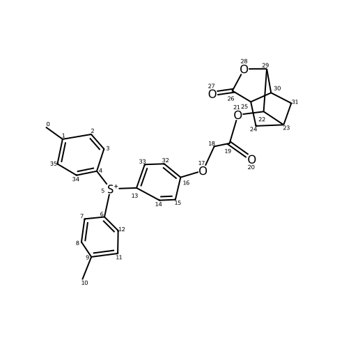 Cc1ccc([S+](c2ccc(C)cc2)c2ccc(OCC(=O)OC3C4CC5C(=O)OC3C5C4)cc2)cc1